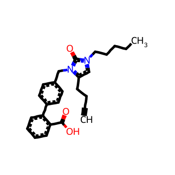 C#CCCc1cn(CCCCC)c(=O)n1Cc1ccc(-c2ccccc2C(=O)O)cc1